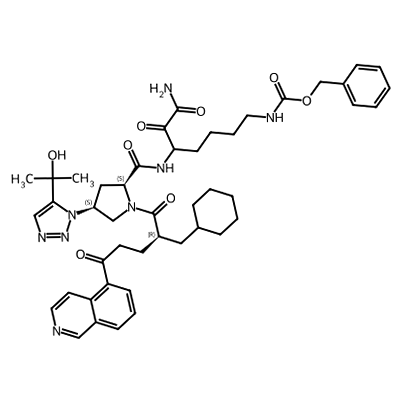 CC(C)(O)c1cnnn1[C@H]1C[C@@H](C(=O)NC(CCCCNC(=O)OCc2ccccc2)C(=O)C(N)=O)N(C(=O)[C@H](CCC(=O)c2cccc3cnccc23)CC2CCCCC2)C1